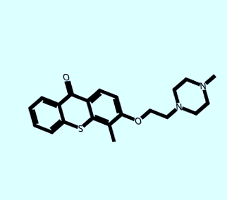 Cc1c(OCCN2CCN(C)CC2)ccc2c(=O)c3ccccc3sc12